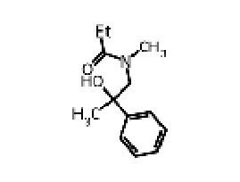 CCC(=O)N(C)CC(C)(O)c1ccccc1